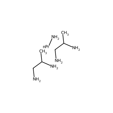 CC(N)CN.CC(N)CN.C[CH]CN